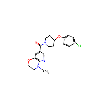 CN1CCOc2cc(C(=O)N3CCC(Oc4ccc(Cl)cc4)CC3)cnc21